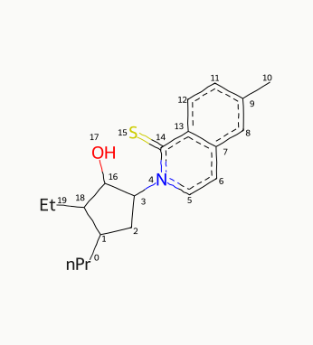 CCCC1CC(n2ccc3cc(C)ccc3c2=S)C(O)C1CC